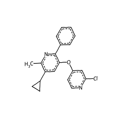 Cc1nc(-c2ccccc2)c(Oc2ccnc(Cl)c2)cc1C1CC1